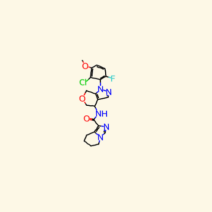 COc1ccc(F)c(-n2ncc3c2COCC3NC(=O)c2ncn3c2CCCC3)c1Cl